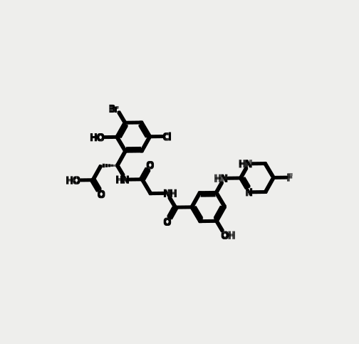 O=C(O)C[C@@H](NC(=O)CNC(=O)c1cc(O)cc(NC2=NCC(F)CN2)c1)c1cc(Cl)cc(Br)c1O